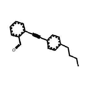 CCCCc1ccc(C#Cc2ccccc2C=O)cc1